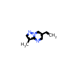 C=Cc1cnc2c(C)cnn2c1